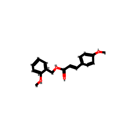 COc1ccc(C=CC(=O)OCc2ccccc2OC)cc1